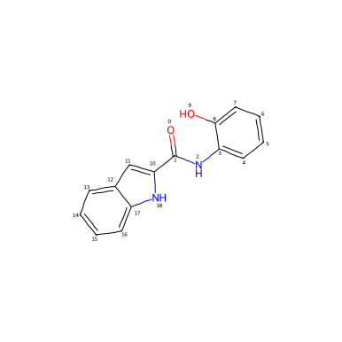 O=C(Nc1ccccc1O)c1cc2ccccc2[nH]1